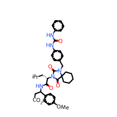 COc1ccc(C(CC(=O)O)NC(=O)[C@H](CC(C)C)N2C(=O)N(Cc3ccc(NC(=O)Nc4ccccc4)cc3)C3(CCCCC3)C2=O)cc1